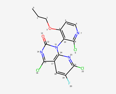 CCCOc1ccnc(Cl)c1-n1c(=O)nc(Cl)c2cc(F)c(Cl)nc21